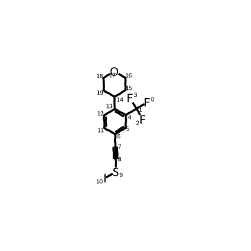 FC(F)(F)c1cc(C#CSI)ccc1C1CCOCC1